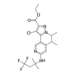 CCOC(=O)c1nn2c(c1Cl)-c1cnc(NC(C)(C)CC(F)(F)F)cc1C(C)C2C